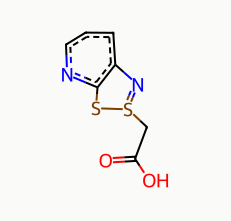 O=C(O)CS1=Nc2cccnc2S1